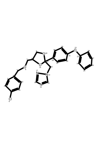 Clc1ccc(COCC2COC(Cn3cncn3)(c3ccc(Oc4ccccc4)cc3)O2)cc1